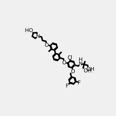 Cc1c(COc2cc(OCc3cc(F)cc(F)c3)c(CNC(C)(CO)CO)cc2Cl)cccc1-c1cccc(OCCCN2CC[C@@H](O)C2)c1C